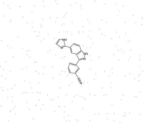 N#Cc1cccc(-c2n[nH]c3ccc(-c4ncc[nH]4)cc23)c1